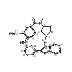 COc1cc(C(=O)N(C)C2CCN(C)C2)ccc1Nc1cncc(-c2cc3ccccc3[nH]2)n1